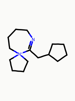 C1CC[N+]2(CCCC2)C(CC2CCCC2)=NC1